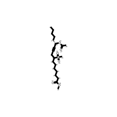 CCCCC[C@@H](C#CCC(CCCCCCC(=O)OC)S(C)(=O)=O)OC(C)=O